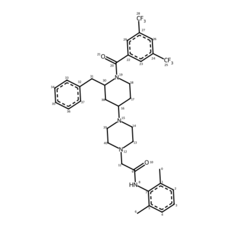 Cc1cccc(C)c1NC(=O)CN1CCN(C2CCN(C(=O)c3cc(C(F)(F)F)cc(C(F)(F)F)c3)C(Cc3ccccc3)C2)CC1